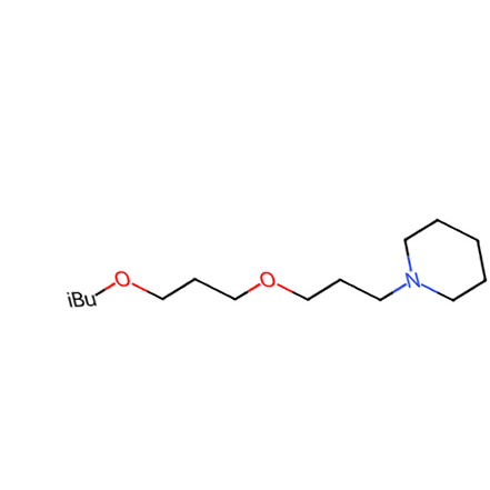 CCC(C)OCCCOCCCN1CCCCC1